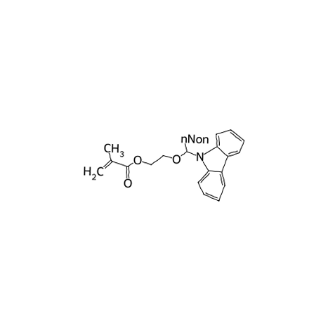 C=C(C)C(=O)OCCOC(CCCCCCCCC)n1c2ccccc2c2ccccc21